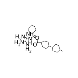 CC1CCC(C2CCC(C(=O)O[C@@H](NC(N)(N)C(N)N)C3CCCCC3)CC2)CC1